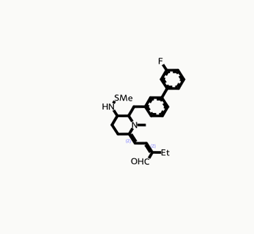 CC/C(C=O)=C/C=C1/CCC(NSC)C(Cc2cccc(-c3cccc(F)c3)c2)N1C